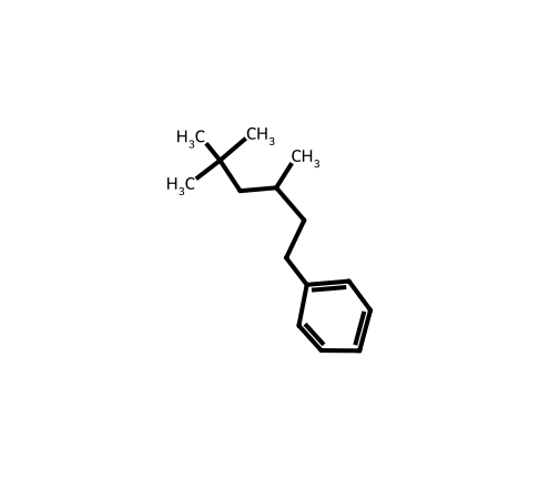 CC(CCc1ccccc1)CC(C)(C)C